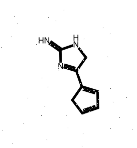 N=C1N=C(C2=CC=CC2)CN1